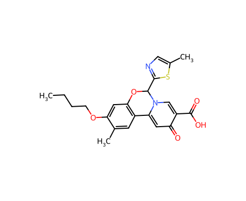 CCCCOc1cc2c(cc1C)-c1cc(=O)c(C(=O)O)cn1C(c1ncc(C)s1)O2